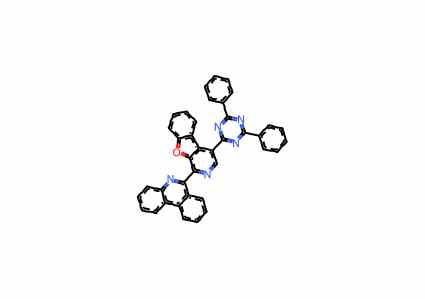 c1ccc(-c2nc(-c3ccccc3)nc(-c3cnc(-c4nc5ccccc5c5ccccc45)c4oc5ccccc5c34)n2)cc1